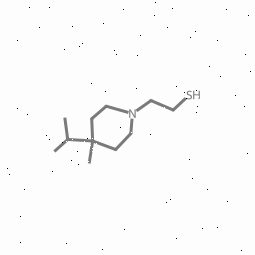 CC(C)C1(C)CCN(CCS)CC1